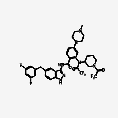 CN1CCN(c2ccc(C(=O)Nc3n[nH]c4ccc(Cc5cc(F)cc(F)c5)cc34)c(N(C(=O)C(F)(F)F)C3CCCN(C(=O)C(F)(F)F)C3)c2)CC1